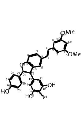 COc1cc(/C=C/c2ccc3c(c2)C(c2cc(O)c(I)c(O)c2)C(c2ccc(O)cc2)O3)cc(OC)c1